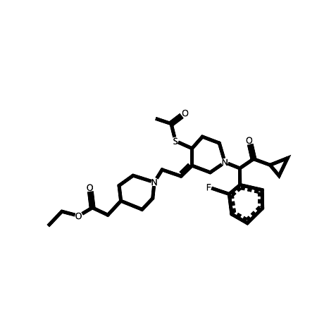 CCOC(=O)CC1CCN(CC=C2CN(C(C(=O)C3CC3)c3ccccc3F)CCC2SC(C)=O)CC1